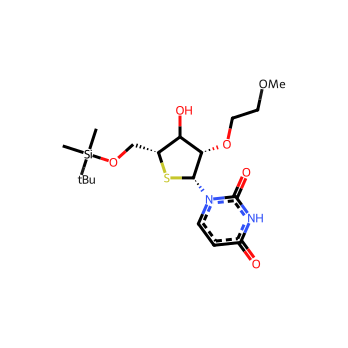 COCCO[C@H]1C(O)[C@@H](CO[Si](C)(C)C(C)(C)C)S[C@H]1n1ccc(=O)[nH]c1=O